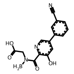 BN(CC(=O)O)C(=O)c1ncc(-c2cccc(C#N)c2)cc1O